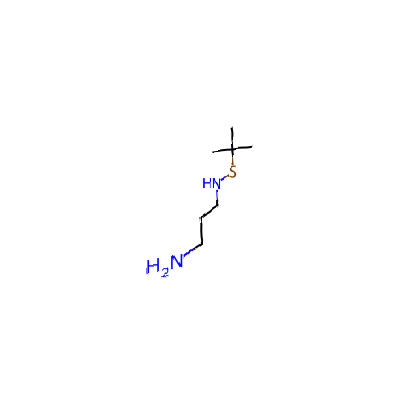 CC(C)(C)SNCCCN